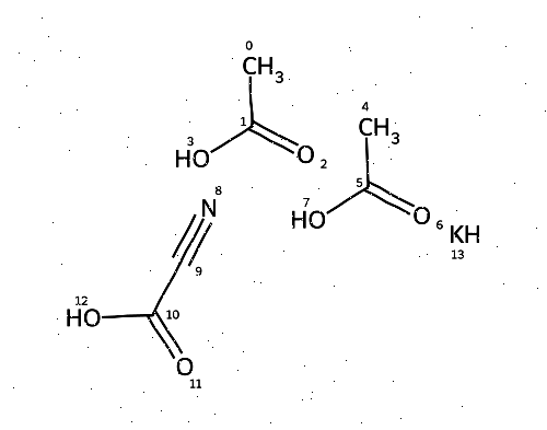 CC(=O)O.CC(=O)O.N#CC(=O)O.[KH]